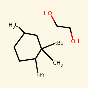 CCCC1CCC(C)CC1(C)C(C)(C)C.OCCO